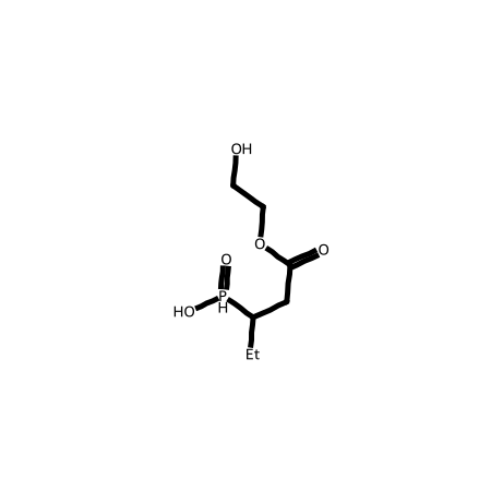 CCC(CC(=O)OCCO)[PH](=O)O